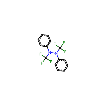 FC(F)(F)N(c1ccccc1)N(c1ccccc1)C(F)(F)F